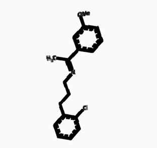 COc1cccc(C(C)=NCCCc2ccccc2Cl)c1